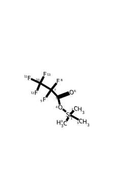 C[Si](C)(C)OC(=O)C(F)(F)C(F)(F)F